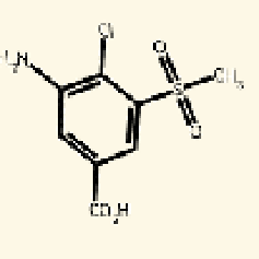 CS(=O)(=O)c1cc(C(=O)O)cc(N)c1Cl